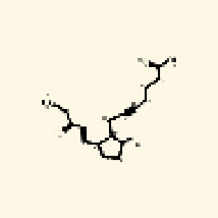 CCC(=O)/C=C/C1CCC(O)C1CC#CCCCC(=O)O